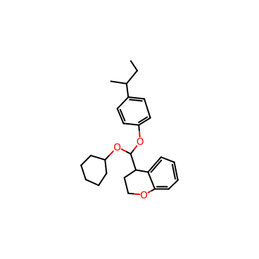 CCC(C)c1ccc(OC(OC2CCCCC2)C2CCOc3ccccc32)cc1